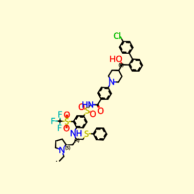 [CH2]CN1CCC[C@H]1C[C@H](CSc1ccccc1)Nc1ccc(S(=O)(=O)NC(=O)c2ccc(N3CCC([C@@H](O)c4ccccc4-c4ccc(Cl)cc4)CC3)cc2)cc1S(=O)(=O)C(F)(F)F